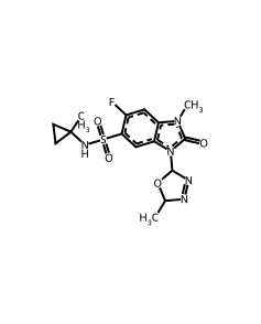 CC1N=NC(n2c(=O)n(C)c3cc(F)c(S(=O)(=O)NC4(C)CC4)cc32)O1